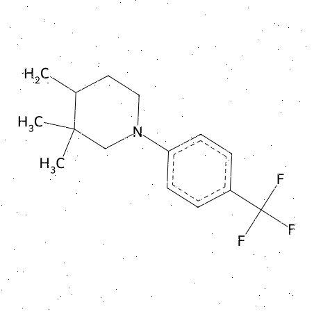 [CH2]C1CCN(c2ccc(C(F)(F)F)cc2)CC1(C)C